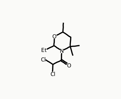 CCC1OC(C)CC(C)(C)N1C(=O)C(Cl)Cl